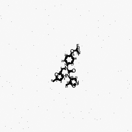 Cc1ccc(CN(C(=O)Nc2cnoc2C)c2ccc(OC(F)F)cc2)o1